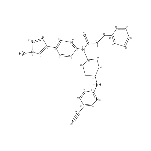 Cn1cc(-c2ccc(N(C(=O)NCc3ccccc3)C3CCC(Nc4ccc(C#N)cn4)CC3)nc2)cn1